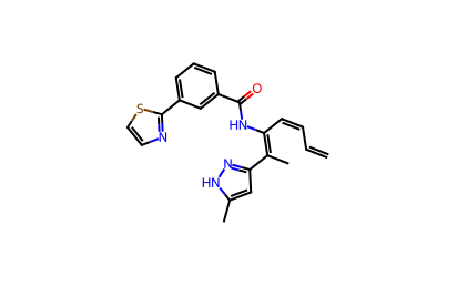 C=C/C=C\C(NC(=O)c1cccc(-c2nccs2)c1)=C(/C)c1cc(C)[nH]n1